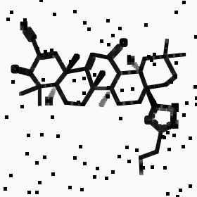 CCCc1nnc([C@]23CCC(C)(C)C[C@@H]2C2C(=O)C=C4[C@@]5(C)C=C(C#N)C(=O)C(C)(C)[C@@H]5CC[C@@]4(C)[C@]2(C)CC3)o1